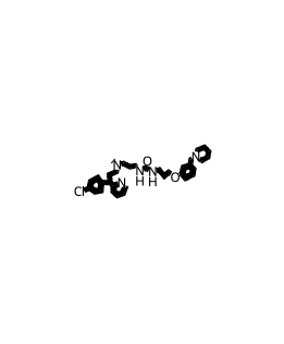 CN(CCCNC(=O)NCCCOc1cccc(CN2CCCCC2)c1)CCC(c1ccc(Cl)cc1)c1ccccn1